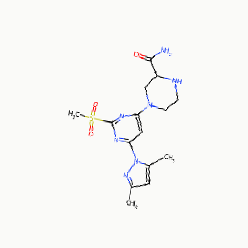 Cc1cc(C)n(-c2cc(N3CCNC(C(N)=O)C3)nc(S(C)(=O)=O)n2)n1